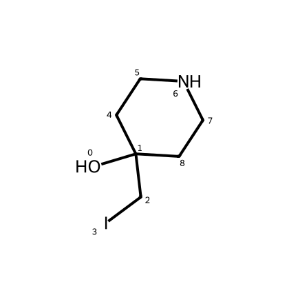 OC1(CI)CCNCC1